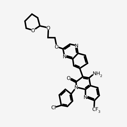 Nc1c(-c2ccc3ncc(OCCOC4CCCCO4)nc3c2)c(=O)n(-c2ccc(Cl)cc2)c2nc(C(F)(F)F)ccc12